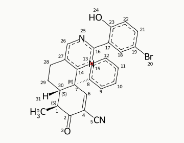 C[C@@H]1C(=O)C(C#N)=C[C@]2(c3ccccc3)c3nc(-c4cc(Br)ccc4O)ncc3CC[C@@H]12